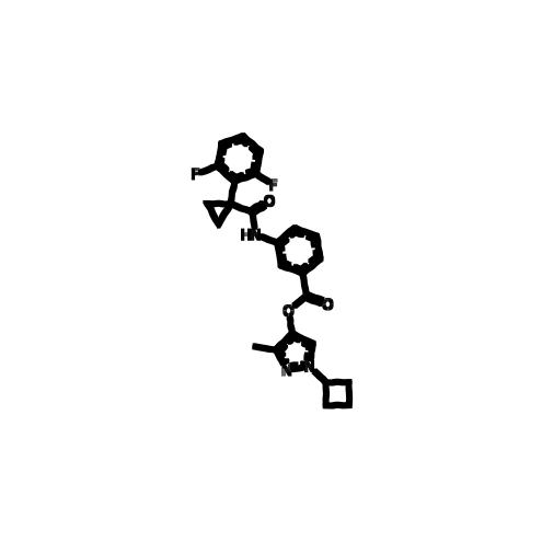 Cc1nn(C2CCC2)cc1OC(=O)c1cccc(NC(=O)C2(c3c(F)cccc3F)CC2)c1